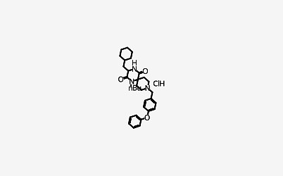 CCCCN1C(=O)C(CC2CCCCC2)NC(=O)C12CCN(Cc1ccc(Oc3ccccc3)cc1)CC2.Cl